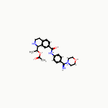 CC(=O)OC(C)C1NCCc2ccc(C(=O)Nc3ccc(C(=N)N4CCOCC4)cc3)cc21